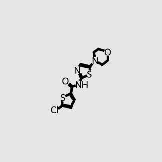 O=C(Nc1ncc(N2CCOCC2)s1)c1ccc(Cl)s1